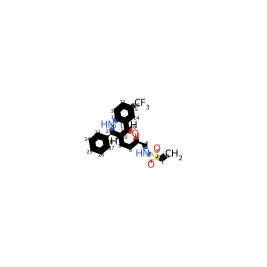 C=CS(=O)(=O)NC[C@H]1CC[C@@H]2[C@H](O1)c1cc(C(F)(F)F)ccc1N[C@H]2c1ccccc1